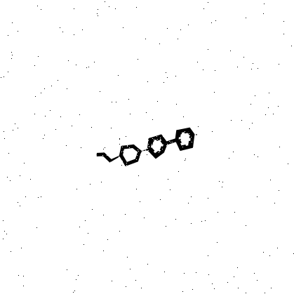 CCC[C@H]1CC[C@H](c2ccc(-c3cc[c]cc3)cc2)CC1